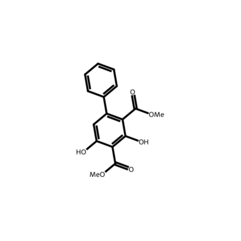 COC(=O)c1c(O)cc(-c2ccccc2)c(C(=O)OC)c1O